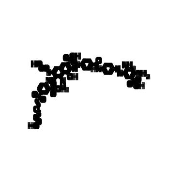 Nc1cc(N)c(S(=O)(=O)O)cc1/N=N/c1ccc(NC(=O)c2ccc(/N=N/c3c(S(=O)(=O)O)cc4cc(SOOO)c(/N=N/c5ccc(S(=O)(=O)CCOSOOO)cc5S(=O)(=O)O)c(N)c4c3O)cc2)cc1